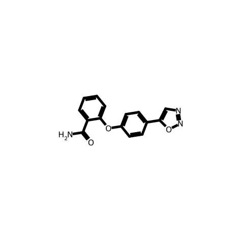 NC(=O)c1ccccc1Oc1ccc(-c2cnno2)cc1